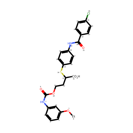 CCOc1cccc(NC(=O)OCCC(Sc2ccc(NC(=O)c3ccc(Cl)cc3)cc2)C(=O)O)c1